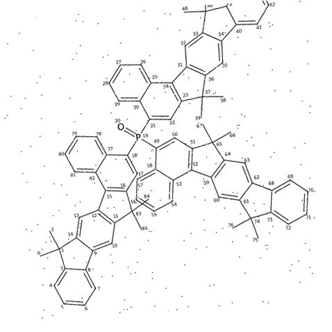 CC1(C)c2ccccc2-c2cc3c(cc21)-c1c(cc(P(=O)(c2cc4c(c5ccccc25)-c2cc5c(cc2C4(C)C)-c2ccccc2C5(C)C)c2cc4c(c5ccccc25)-c2cc5c(cc2C4(C)C)-c2ccccc2C5(C)C)c2ccccc12)C3(C)C